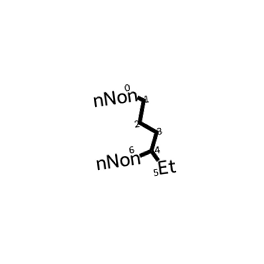 [CH2]CCCCCCCCCCCC(CC)CCCCCCCC[CH2]